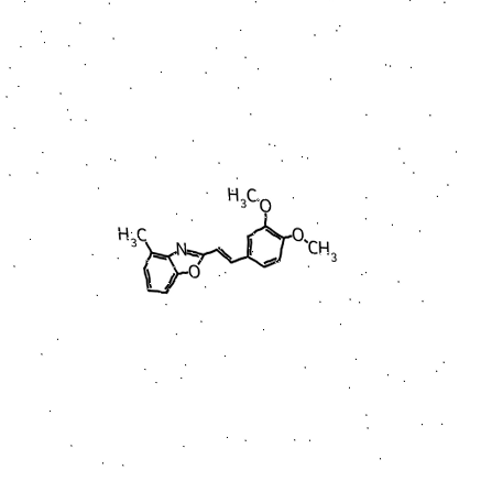 COc1ccc(/C=C/c2nc3c(C)cccc3o2)cc1OC